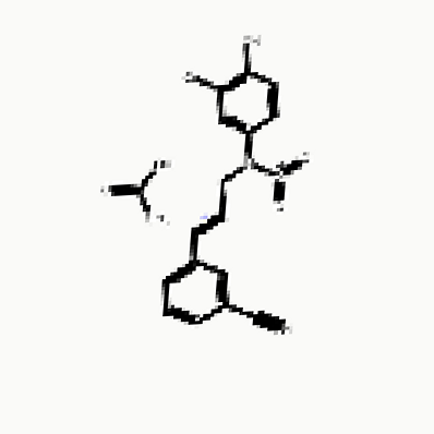 CC(=O)O.N#Cc1cccc(/C=C/CN(c2ccc(O)c(Cl)c2)[SH](=O)=O)c1